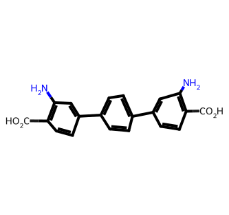 Nc1cc(-c2ccc(-c3ccc(C(=O)O)c(N)c3)cc2)ccc1C(=O)O